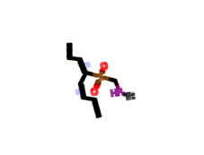 C=C/C=C\C(=C/C=C)S(=O)(=O)CPCC